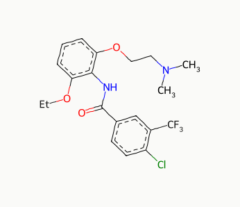 CCOc1cccc(OCCN(C)C)c1NC(=O)c1ccc(Cl)c(C(F)(F)F)c1